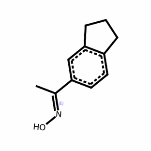 C/C(=N\O)c1ccc2c(c1)CCC2